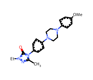 CCn1nc(C)n(-c2ccc(N3CCN(c4ccc(OC)cc4)CC3)cc2)c1=O